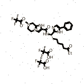 CCC(=O)CCCCC[C@H](NC(=O)c1c[n+]2c([nH]1)CN(C)CC2)c1ncc(-c2ccccc2)[nH]1.O=C(O)C(F)(F)F.O=C(O)C(F)(F)F.O=C([O-])C(F)(F)F